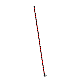 C#CC#CC#CC#CC#CC#CC#CC#CC#CC#CC#CC#CC#CC#CC#CC#CC#CC#CC#CC#CC#CC#CC#CC#CC#CC#CC#CC#CC#CC#CC#CC#CC#CC#CC#CC#CC#CC#CC#CC#CC#CC#CC#CC#CI